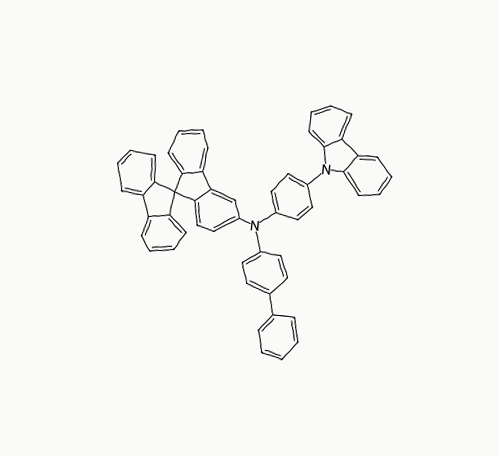 c1ccc(-c2ccc(N(c3ccc(-n4c5ccccc5c5ccccc54)cc3)c3ccc4c(c3)-c3ccccc3C43c4ccccc4-c4ccccc43)cc2)cc1